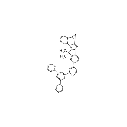 CC1(C)C2=C3C(=C=C2c2ccc(C4=CC(c5cc(-c6ccccc6)nc(C6C=CC=CC6)c5)CC=C4)cc21)C1CC1c1ccccc13